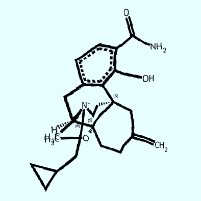 C=C1CC[C@@]2(OC)[C@H]3Cc4ccc(C(N)=O)c(O)c4[C@@]2(CC[N+]3(C)CC2CC2)C1